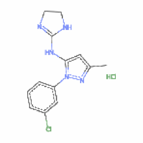 Cc1cc(NC2=NCCN2)n(-c2cccc(Cl)c2)n1.Cl